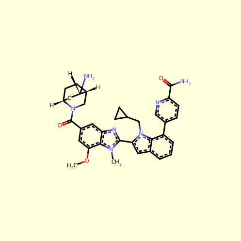 COc1cc(C(=O)N2C[C@H]3CC[C@@H]2C[C@@H]3N)cc2nc(-c3cc4cccc(-c5ccc(C(N)=O)nc5)c4n3CC3CC3)n(C)c12